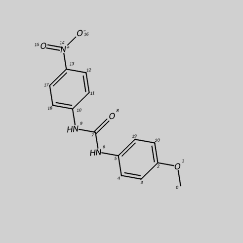 COc1ccc(NC(=O)Nc2ccc([N+](=O)[O-])cc2)cc1